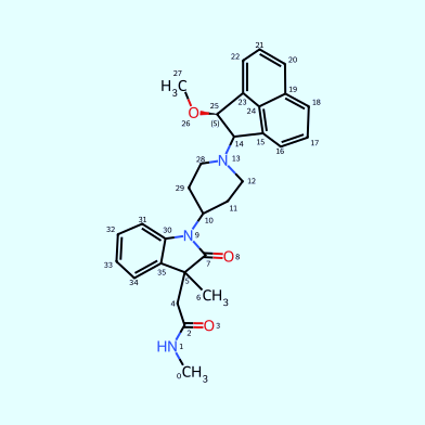 CNC(=O)CC1(C)C(=O)N(C2CCN(C3c4cccc5cccc(c45)[C@@H]3OC)CC2)c2ccccc21